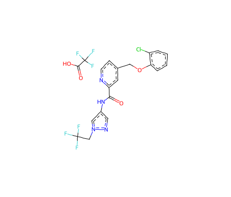 O=C(Nc1cnn(CC(F)(F)F)c1)c1cc(COc2ccccc2Cl)ccn1.O=C(O)C(F)(F)F